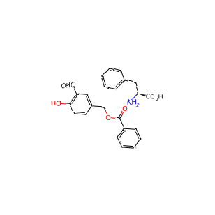 N[C@@H](Cc1ccccc1)C(=O)O.O=Cc1cc(COC(=O)c2cc[c]cc2)ccc1O